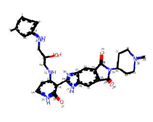 Cc1cccc(NCC(O)CNc2cc[nH]c(=O)c2-c2nc3cc4c(cc3[nH]2)C(=O)N(C2CCN(C)CC2)C4=O)c1